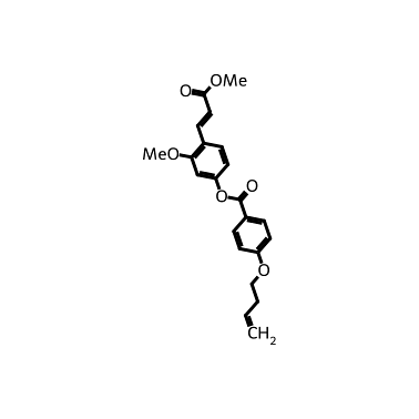 C=CCCOc1ccc(C(=O)Oc2ccc(C=CC(=O)OC)c(OC)c2)cc1